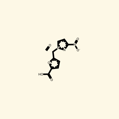 C=O.O=C(O)c1ccc(Cn2ccc([N+](=O)[O-])n2)o1